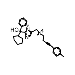 Cc1ccc(C#CCC[N+](C)(C)Cc2cnc(C(O)(c3ccccc3)C3CCCCC3)n2C)cc1